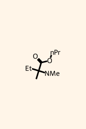 CCCOC(=O)C(C)(CC)NC